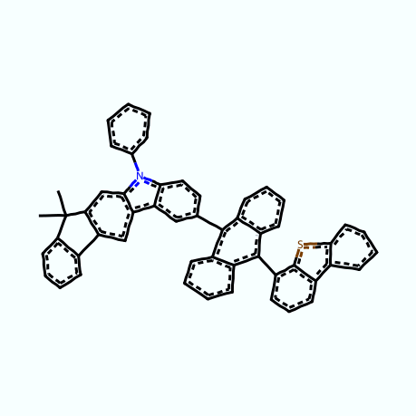 CC1(C)c2ccccc2-c2cc3c4cc(-c5c6ccccc6c(-c6cccc7c6sc6ccccc67)c6ccccc56)ccc4n(-c4ccccc4)c3cc21